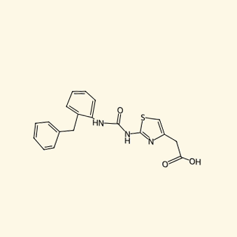 O=C(O)Cc1csc(NC(=O)Nc2ccccc2Cc2ccccc2)n1